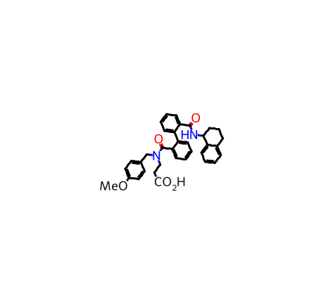 COc1ccc(CN(CCC(=O)O)C(=O)c2ccccc2-c2ccccc2C(=O)NC2CCCc3ccccc32)cc1